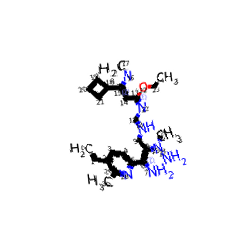 C=Cc1ccc(/C(N)=C(\CNC/N=C(\C=C(/N=C)C2CCC2)OCC)N(C)N)nc1C